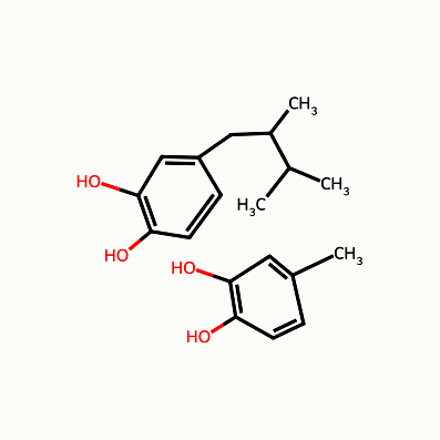 CC(C)C(C)Cc1ccc(O)c(O)c1.Cc1ccc(O)c(O)c1